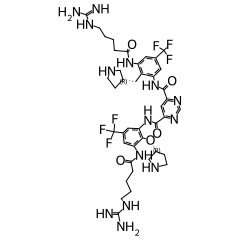 N=C(N)NCCCCC(=O)Nc1cc(C(F)(F)F)cc(NC(=O)c2cc(C(=O)Nc3cc(C(F)(F)F)cc(NC(=O)CCCCNC(=N)N)c3O[C@@H]3CCNC3)ncn2)c1C[C@@H]1CCNC1